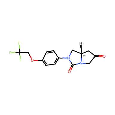 O=C1C[C@H]2CN(c3ccc(OCC(F)(F)F)cc3)C(=O)N2C1